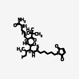 CC(CI)[C@H](NC(=S)CCCCCN1C(=O)C=CC1=O)C(=O)N[C@@H](CCCNC(N)=O)C(=O)C(C)(C)C